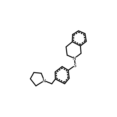 c1ccc2c(c1)CCN(Sc1ccc(CN3CCCC3)cc1)C2